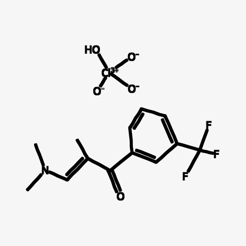 C/C(=C\N(C)C)C(=O)c1cccc(C(F)(F)F)c1.[O-][Cl+3]([O-])([O-])O